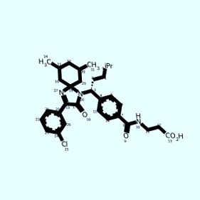 CC(C)CC[C@H](c1ccc(C(=O)NCCC(=O)O)cc1)N1C(=O)C(c2cccc(Cl)c2)=NC12CC(C)CC(C)C2